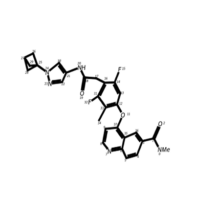 CNC(=O)c1ccc2nccc(Oc3cc(F)c(CC(=O)Nc4cnn(C56CC(C5)C6)c4)c(F)c3C)c2c1